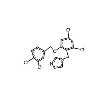 Clc1cc(Cl)c(Cn2ccnc2)c(OCc2ccc(Cl)c(Cl)c2)c1